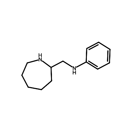 c1ccc(NCC2CCCCCN2)cc1